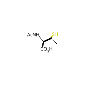 CC(=O)N[C@@H](C(=O)O)[C@@H](C)S